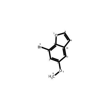 COc1cc(Br)c2o[c]cc2c1